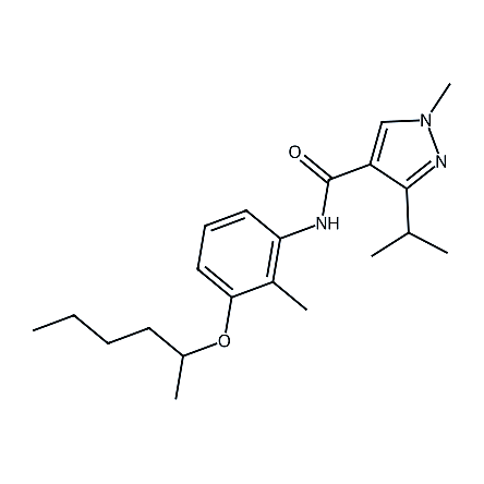 CCCCC(C)Oc1cccc(NC(=O)c2cn(C)nc2C(C)C)c1C